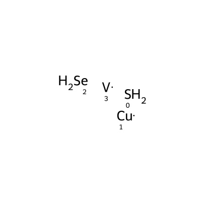 S.[Cu].[SeH2].[V]